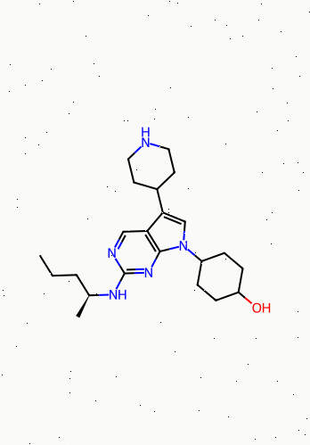 CCC[C@H](C)Nc1ncc2c(C3CCNCC3)cn(C3CCC(O)CC3)c2n1